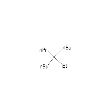 CC[CH]C(CC)(CCCC)CCCC